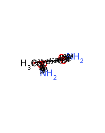 CCCCCCC(CC=CCCCCCCCC(=O)Oc1ccc(N)cc1)OC(=O)c1ccc(N)cc1